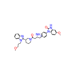 COCCCn1c([C@@H]2CCCN(C(=O)C[C@H](N)Cc3ccc(-n4c(=O)[nH]c5cc(OC)ccc54)cc3)C2)nc2ccccc21